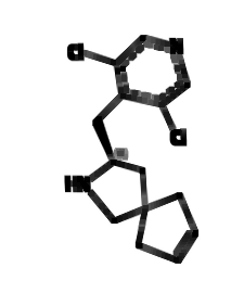 Clc1cncc(Cl)c1C[C@H]1CC2(CC=CC2)CN1